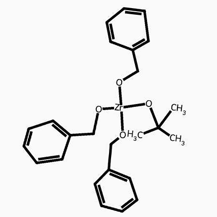 CC(C)(C)[O][Zr]([O]Cc1ccccc1)([O]Cc1ccccc1)[O]Cc1ccccc1